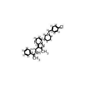 Cc1nn2c([C@H]3CCCN(Cc4ccc(Cl)cc4)C3)ccnc2c1CN[C@@H](C)c1ccccc1